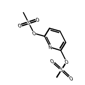 CS(=O)(=O)Oc1cccc(OS(C)(=O)=O)n1